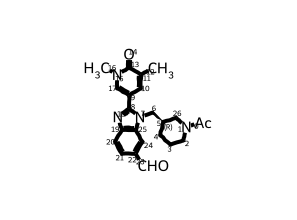 CC(=O)N1CCC[C@@H](Cn2c(-c3cc(C)c(=O)n(C)c3)nc3ccc(C=O)cc32)C1